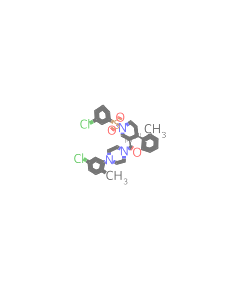 Cc1ccccc1[C@@H]1CCN(S(=O)(=O)c2cccc(Cl)c2)C[C@@H]1C(=O)N1CCN(c2cc(Cl)ccc2C)CC1